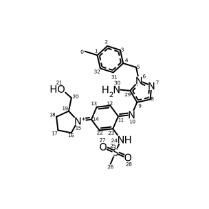 Cc1ccc(Cn2ncc(N=C3C=CC(=[N+]4CCCC4CO)C=C3NS(C)(=O)=O)c2N)cc1